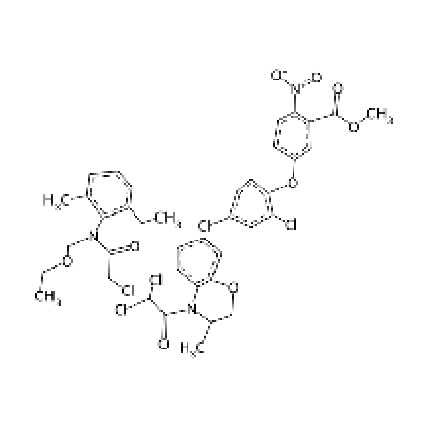 CC1COc2ccccc2N1C(=O)C(Cl)Cl.CCOCN(C(=O)CCl)c1c(C)cccc1CC.COC(=O)c1cc(Oc2ccc(Cl)cc2Cl)ccc1[N+](=O)[O-]